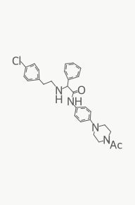 CC(=O)N1CCN(c2ccc(NC(=O)C(NCCc3ccc(Cl)cc3)c3ccccc3)cc2)CC1